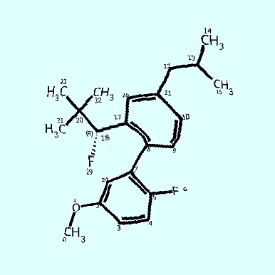 COc1ccc(F)c(-c2ccc(CC(C)C)cc2[C@H](F)C(C)(C)C)c1